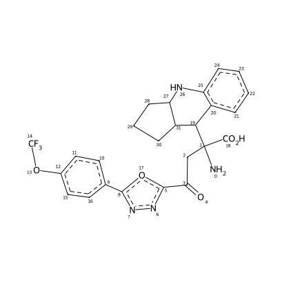 NC(CC(=O)c1nnc(-c2ccc(OC(F)(F)F)cc2)o1)(C(=O)O)C1c2ccccc2NC2CCCC21